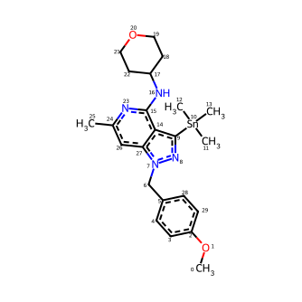 COc1ccc(Cn2n[c]([Sn]([CH3])([CH3])[CH3])c3c(NC4CCOCC4)nc(C)cc32)cc1